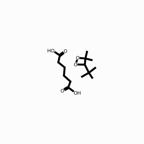 CC(C)(C)C1OOC1(C)C.O=C(O)CCCCC(=O)O